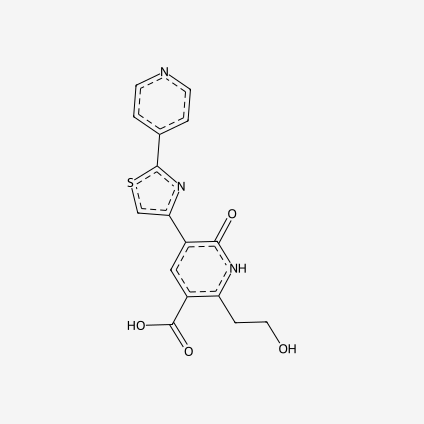 O=C(O)c1cc(-c2csc(-c3ccncc3)n2)c(=O)[nH]c1CCO